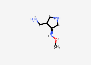 CON=C1CNCC1CN